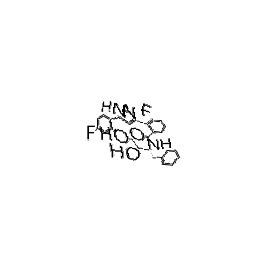 O=C(N[C@H](Cc1ccccc1)[C@H](O)CO)c1cccc(F)c1-c1cc(-c2ccc(F)cc2)[nH]n1